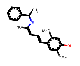 COc1cc(C=CC=C(C#N)NC(C)c2ccccc2)c(OC)cc1O